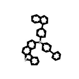 c1ccc(-c2ccc(N(c3ccc(-c4cccc5ccccc45)cc3)c3ccc4ccc5sc6ccccc6c5c4c3)cc2)cc1